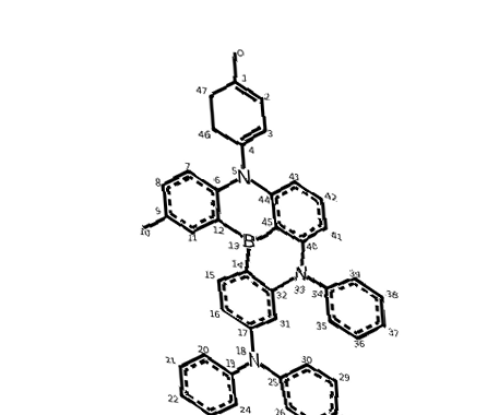 CC1=CC=C(N2c3ccc(C)cc3B3c4ccc(N(c5ccccc5)c5ccccc5)cc4N(c4ccccc4)c4cccc2c43)CC1